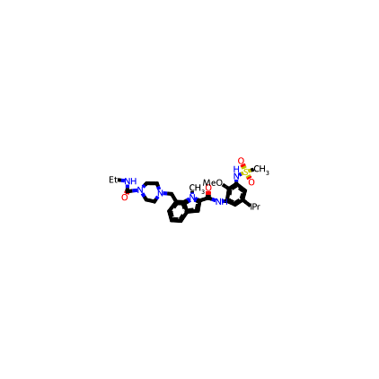 CCNC(=O)N1CCN(Cc2cccc3cc(C(=O)Nc4cc(C(C)C)cc(NS(C)(=O)=O)c4OC)n(C)c23)CC1